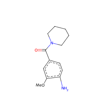 COc1cc(C(=O)N2CCCCC2)ccc1N